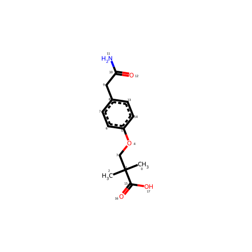 CC(C)(COc1ccc(CC(N)=O)cc1)C(=O)O